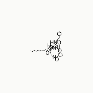 CCCCCCCCCC(=O)N[C@H]1CCCN(C)C(=O)c2cccc(c2)OC[C@@H]2C[C@H](NC(=O)CCc3ccccc3)CN2C1=O